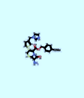 COc1ccc(COC(=O)C2=C([SH]3C=CC(Cn4ccnc4)=C3)CSC3[C@H](N)C(=O)N23)cc1